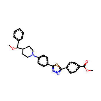 COC(=O)c1ccc(-c2nnc(-c3ccc(N4CCC(C(OC)c5ccccc5)CC4)cc3)s2)cc1